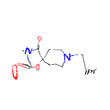 CC(C)CN1CCC2(CC1)OC(=O)[N]C2=O